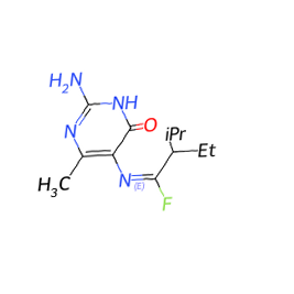 CCC(/C(F)=N\c1c(C)nc(N)[nH]c1=O)C(C)C